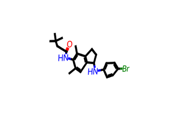 Cc1cc2c(c(C)c1NC(=O)CC(C)(C)C)CCC2Nc1ccc(Br)cc1